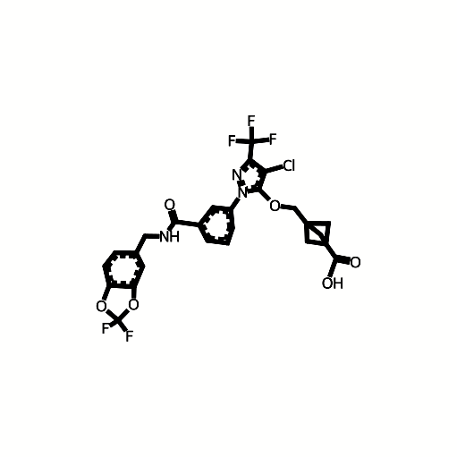 O=C(NCc1ccc2c(c1)OC(F)(F)O2)c1cccc(-n2nc(C(F)(F)F)c(Cl)c2OCC23CC(C(=O)O)(C2)C3)c1